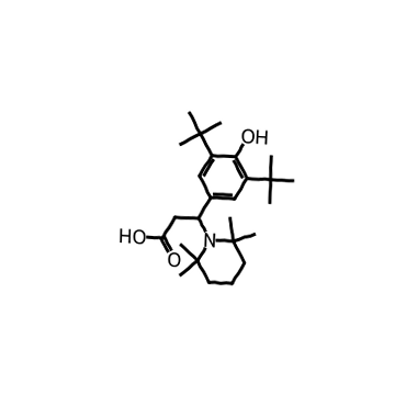 CC(C)(C)c1cc(C(CC(=O)O)N2C(C)(C)CCCC2(C)C)cc(C(C)(C)C)c1O